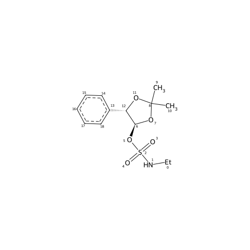 CCNS(=O)(=O)O[C@@H]1OC(C)(C)O[C@H]1c1ccccc1